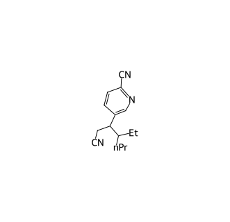 CCCC(CC)C(CC#N)c1ccc(C#N)nc1